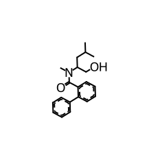 CC(C)CC(CO)N(C)C(=O)c1ccccc1-c1ccccc1